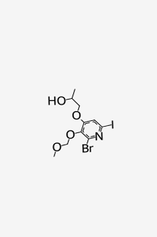 COCOc1c(OCC(C)O)cc(I)nc1Br